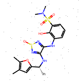 Cc1cc([C@H](Nc2n[s+]([O-])nc2Nc2cccc(S(=O)(=O)N(C)C)c2O)C(C)C)oc1C